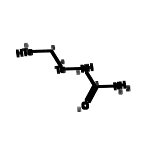 NC(=O)N[Te]C[TeH]